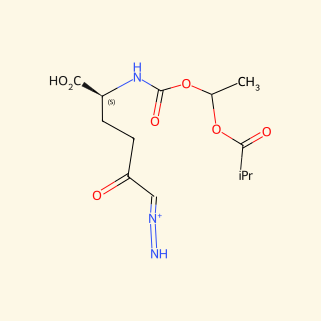 CC(OC(=O)N[C@@H](CCC(=O)C=[N+]=N)C(=O)O)OC(=O)C(C)C